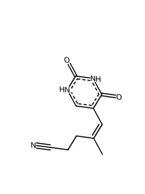 CC(=Cc1c[nH]c(=O)[nH]c1=O)CCC#N